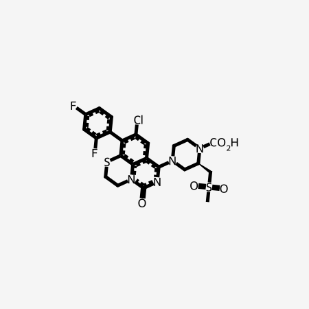 CS(=O)(=O)C[C@H]1CN(c2nc(=O)n3c4c(c(-c5ccc(F)cc5F)c(Cl)cc24)SCC3)CCN1C(=O)O